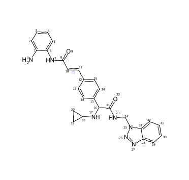 Nc1ccccc1NC(=O)/C=C/c1ccc(C(NC2CC2)C(=O)NCn2nnc3ccccc32)cc1